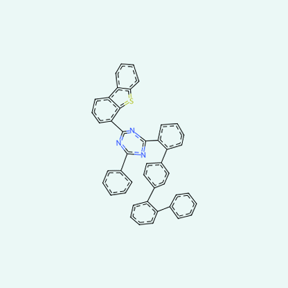 c1ccc(-c2nc(-c3ccccc3-c3ccc(-c4ccccc4-c4ccccc4)cc3)nc(-c3cccc4c3sc3ccccc34)n2)cc1